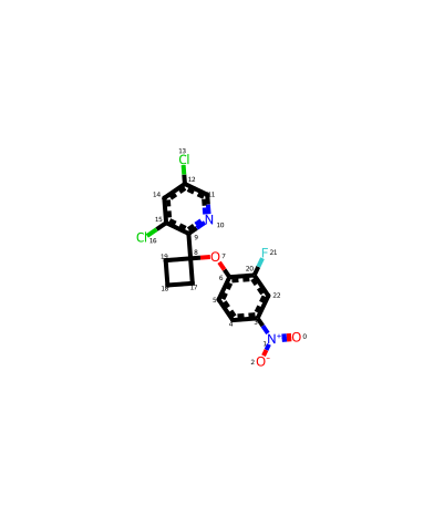 O=[N+]([O-])c1ccc(OC2(c3ncc(Cl)cc3Cl)CCC2)c(F)c1